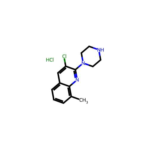 Cc1cccc2cc(Cl)c(N3CCNCC3)nc12.Cl